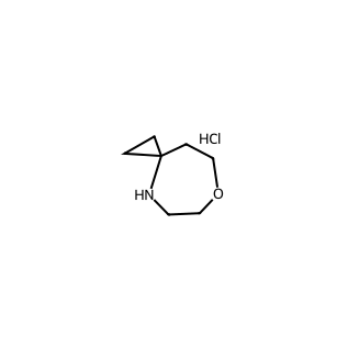 C1COCCC2(CC2)N1.Cl